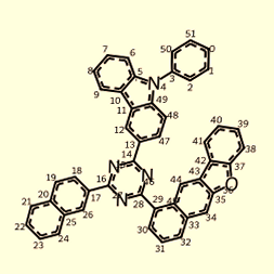 c1ccc(-n2c3ccccc3c3cc(-c4nc(-c5ccc6ccccc6c5)nc(-c5cccc6cc7oc8ccccc8c7cc56)n4)ccc32)cc1